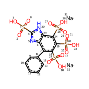 O=S(=O)(O)c1nc2c(-c3ccccc3)c(S(=O)(=O)O)c(S(=O)(=O)O)c(S(=O)(=O)O)c2[nH]1.[Na].[Na]